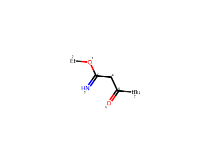 CCOC(=N)CC(=O)C(C)(C)C